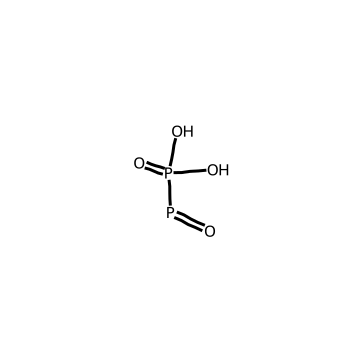 O=PP(=O)(O)O